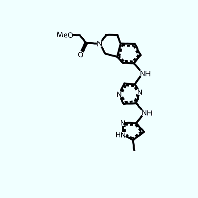 COCC(=O)N1CCc2ccc(Nc3cncc(Nc4cc(C)[nH]n4)n3)cc2C1